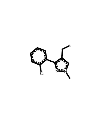 Cn1cc(CI)c(-c2ccccc2Cl)n1